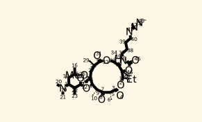 CC[C@H]1OC(=O)[C@H](C)C(=O)[C@H](C)[C@@H](OC2OC(C)CC(N(C)C)C2C)[C@](C)(OC)C[C@@H](C)C(=O)O[C@H](C)[C@H]2N(CCCCN=[N+]=[N-])C(=O)O[C@]12C